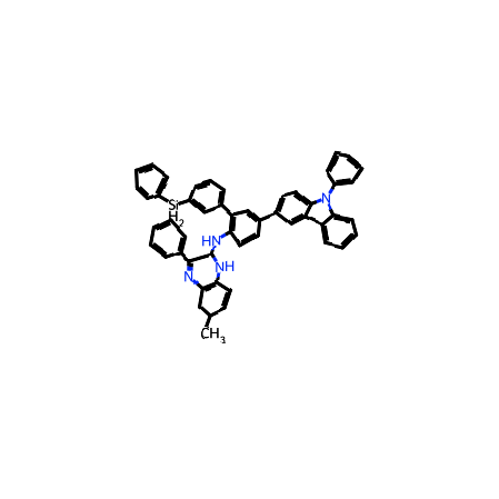 CC1C=CC2=C(C1)N=C(c1ccccc1)C(Nc1ccc(-c3ccc4c(c3)c3ccccc3n4-c3ccccc3)cc1-c1cccc([SiH2]c3ccccc3)c1)N2